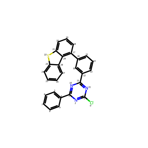 Clc1nc(-c2ccccc2)nc(-c2cccc(-c3cccc4sc5ccccc5c34)c2)n1